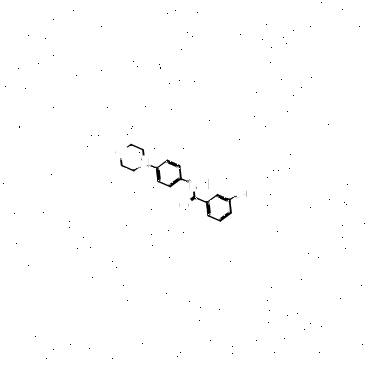 O=C(Nc1ccc(N2CCOCC2)cc1)c1cccc(Br)c1